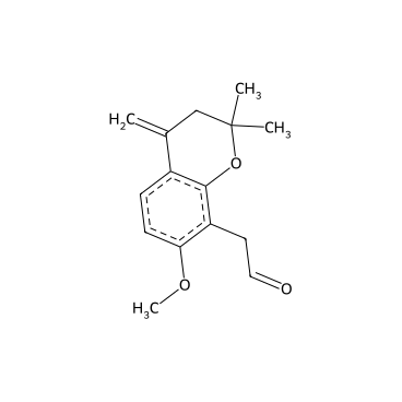 C=C1CC(C)(C)Oc2c1ccc(OC)c2CC=O